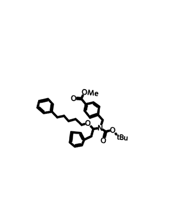 COC(=O)c1ccc(CN(C(=O)OC(C)(C)C)C(Cc2ccccc2)OCCCCCc2ccccc2)cc1